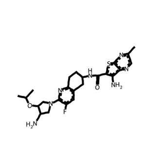 Cc1cnc2c(N)c(C(=O)NC3CCc4nc(N5CC(N)C(OC(C)C)C5)c(F)cc4C3)sc2n1